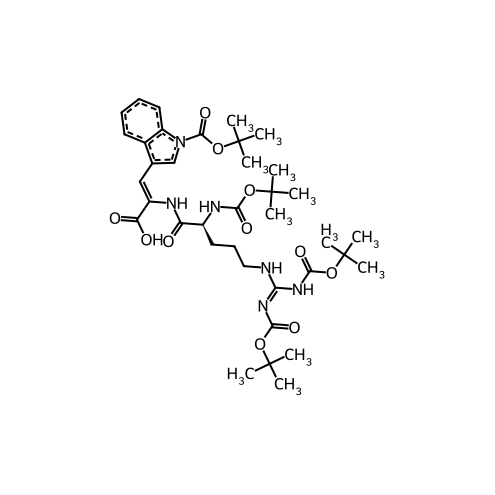 CC(C)(C)OC(=O)N=C(NCCC[C@H](NC(=O)OC(C)(C)C)C(=O)NC(=Cc1cn(C(=O)OC(C)(C)C)c2ccccc12)C(=O)O)NC(=O)OC(C)(C)C